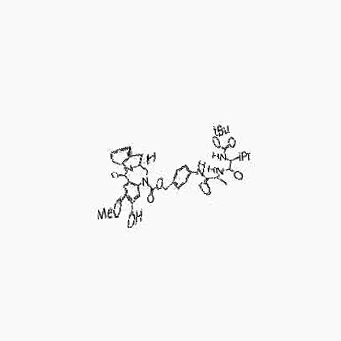 COc1cc2c(cc1O)N(C(=O)OCc1ccc(NC(=O)[C@H](C)NC(=O)[C@@H](NC(=O)OC(C)(C)C)C(C)C)cc1)C[C@@H]1Cc3ccccc3N1C2=O